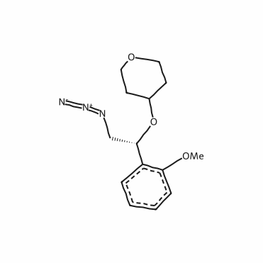 COc1ccccc1[C@H](CN=[N+]=[N-])OC1CCOCC1